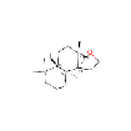 CC1(C)CCC[C@@]2(C)[C@H]1CC[C@]1(C)OCC[C@@H]21